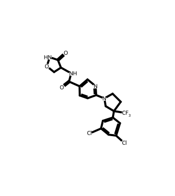 O=C(NC1CONC1=O)c1ccc(N2CCC(c3cc(Cl)cc(Cl)c3)(C(F)(F)F)C2)nc1